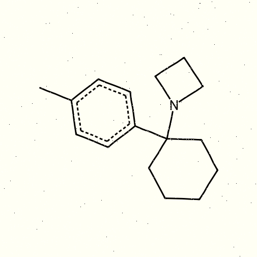 Cc1ccc(C2(N3CCC3)CCCCC2)cc1